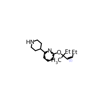 CC/C=C\C(C)(CC)Oc1cccc(C2CCNCC2)n1